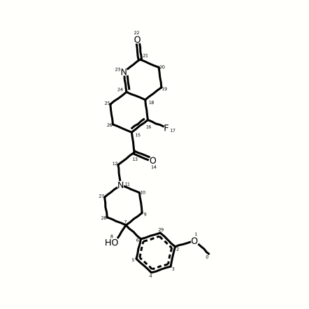 COc1cccc(C2(O)CCN(CC(=O)C3=C(F)C4CCC(=O)N=C4CC3)CC2)c1